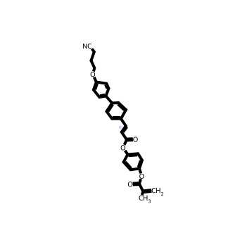 C=C(C)C(=O)Oc1ccc(OC(=O)/C=C/c2ccc(-c3ccc(OCCCC#N)cc3)cc2)cc1